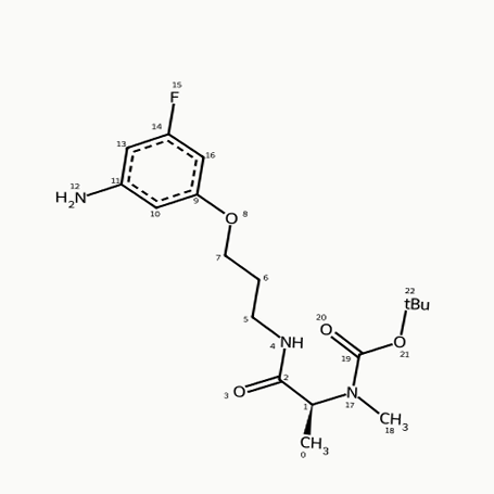 C[C@@H](C(=O)NCCCOc1cc(N)cc(F)c1)N(C)C(=O)OC(C)(C)C